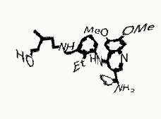 CCc1c(CNCCC(C)CCO)cccc1Nc1c(C(N)=O)cnc2cc(OC)c(OC)cc12